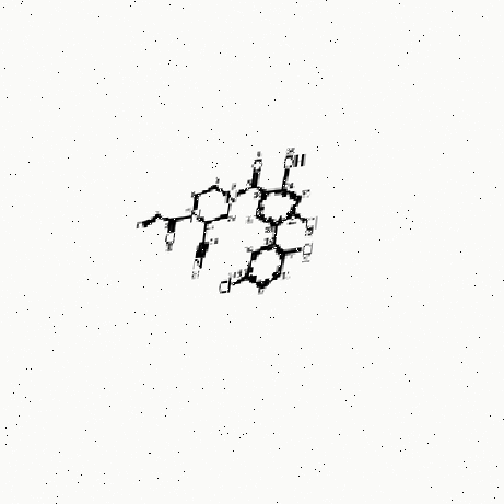 C=CC(=O)N1CCN(C(=O)c2cc(-c3cc(Cl)ccc3Cl)c(Cl)cc2O)CC1C#N